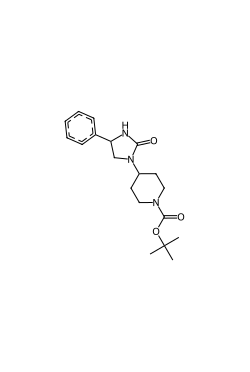 CC(C)(C)OC(=O)N1CCC(N2CC(c3ccccc3)NC2=O)CC1